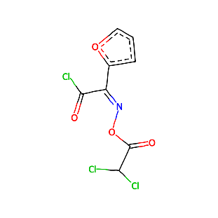 O=C(Cl)C(=NOC(=O)C(Cl)Cl)c1ccco1